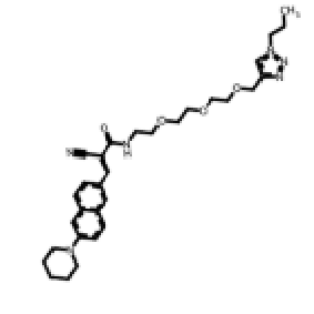 CCCn1cc(COCCOCCOCCNC(=O)/C(C#N)=C/c2ccc3cc(N4CCCCC4)ccc3c2)nn1